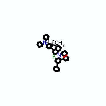 C[Si]1(C)c2cc(N(c3ccccc3)c3ccccc3)ccc2-c2ccc(N(c3ccccc3)c3c(F)cc(-c4ccccc4)cc3-c3ccccc3)c3cccc1c23